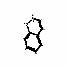 B1C=Cc2ccccc2O1